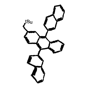 CC(C)(C)Cc1ccc2c(-c3ccc4ccccc4c3)c3ccccc3c(-c3ccc4ccccc4c3)c2c1